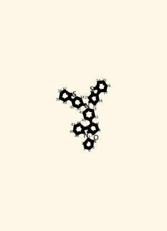 c1ccc2c(c1)Oc1ccc(-c3ccc(N(c4ccc5c(c4)sc4ccccc45)c4ccc5c(c4)sc4ccccc45)cc3)c3c4ccccc4n-2c13